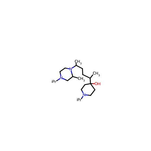 CC(C)N1CCC(O)(C(C)CCC(C)N2CCN(C(C)C)CC2C)CC1